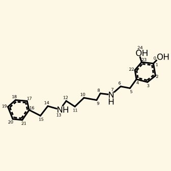 Oc1ccc(CCNCCCCCNCCc2ccccc2)cc1O